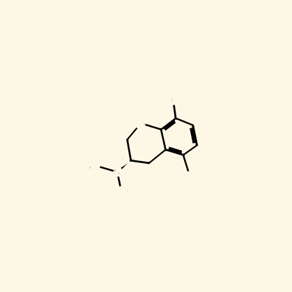 CCCN(C(C)C)[C@H]1COc2c(F)ccc(C=O)c2C1